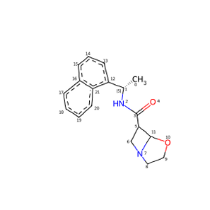 C[C@H](NC(=O)C1CN2CCOC12)c1cccc2ccccc12